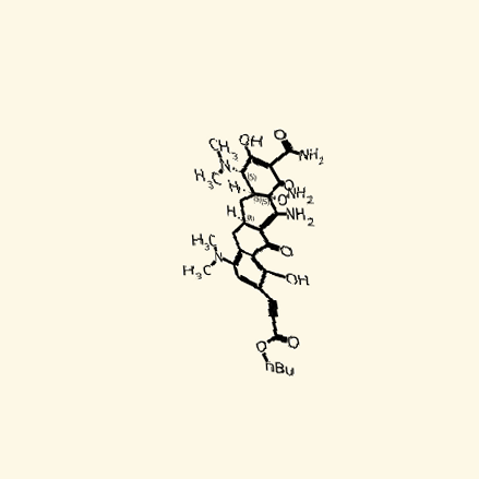 CCCCOC(=O)C#Cc1cc(N(C)C)c2c(c1O)C(=O)C1=C(N)[C@]3(ON)C(=O)C(C(N)=O)=C(O)[C@@H](N(C)C)[C@@H]3C[C@@H]1C2